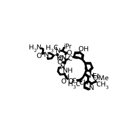 CCn1c(-c2cccnc2[C@H](C)OC)c2c3cc(ccc31)-c1cc(O)cc(c1)C[C@H](NC(=O)C(C(C)C)N(C)C(=O)[C@H]1CCN(C(=O)CN)C1)C(=O)N1CCC[C@H](N1)C(=O)OCC(C)(C)C2